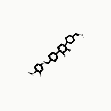 C=CC1CCC(c2ccc(-c3ccc(COc4ccc(OCC)c(F)c4)cc3)c(F)c2F)CC1